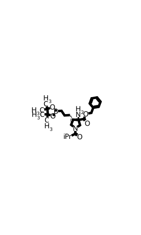 CC(C)C(=O)N1C[C@H](CCCB2OC(C)(C)C(C)(C)O2)[C@](N)(C(=O)OCc2ccccc2)C1